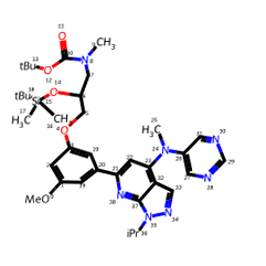 COc1cc(OCC(CN(C)C(=O)OC(C)(C)C)O[Si](C)(C)C(C)(C)C)cc(-c2cc(N(C)c3cncnc3)c3cnn(C(C)C)c3n2)c1